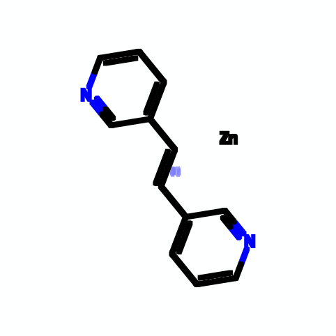 C(=C\c1cccnc1)/c1cccnc1.[Zn]